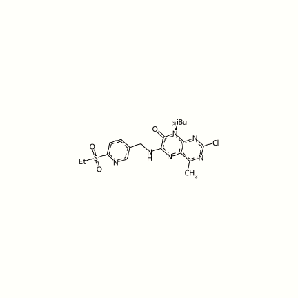 CC[C@H](C)n1c(=O)c(NCc2ccc(S(=O)(=O)CC)nc2)nc2c(C)nc(Cl)nc21